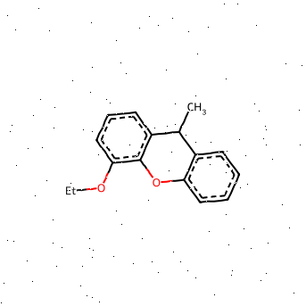 CCOc1cccc2c1Oc1ccccc1C2C